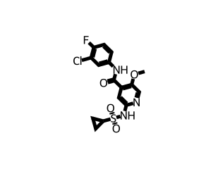 COc1cnc(NS(=O)(=O)C2CC2)cc1C(=O)Nc1ccc(F)c(Cl)c1